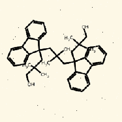 CC(C)(CO)CC1(CC(C)(C)CC2(CC(C)(C)CO)c3ccccc3-c3ccccc32)c2ccccc2-c2ccccc21